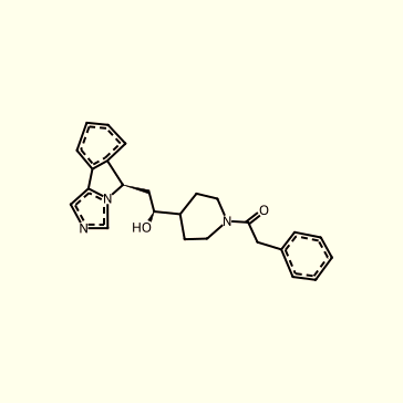 O=C(Cc1ccccc1)N1CCC([C@@H](O)C[C@@H]2c3ccccc3-c3cncn32)CC1